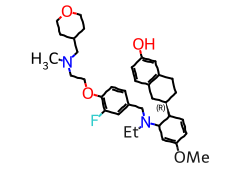 CCN(Cc1ccc(OCCN(C)CC2CCOCC2)c(F)c1)C1C=C(OC)C=CC1[C@@H]1CCc2cc(O)ccc2C1